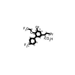 CC(C)C[C@H](C(=O)O)c1cc(-c2ccc(C(F)(F)F)cc2)c(OCC(F)(F)F)c(C(F)(F)F)c1